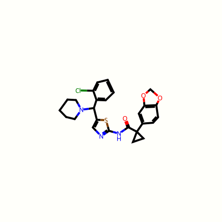 O=C(Nc1ncc(C(c2ccccc2Cl)N2CCCCC2)s1)C1(c2ccc3c(c2)OCO3)CC1